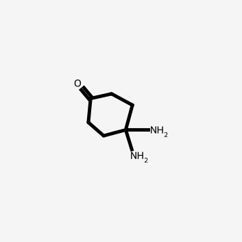 NC1(N)CCC(=O)CC1